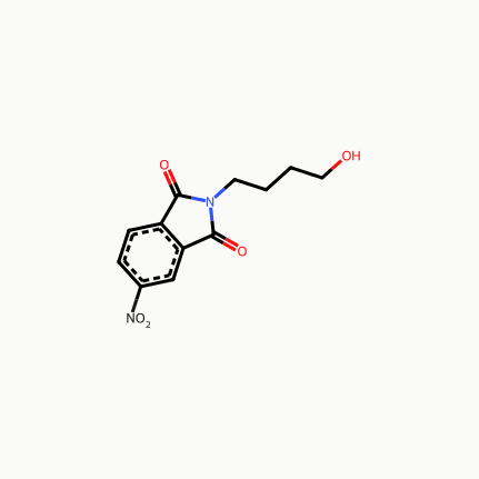 O=C1c2ccc([N+](=O)[O-])cc2C(=O)N1CCCCO